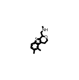 CNCC1OCCc2c1sc1ccc(C)c(C)c21